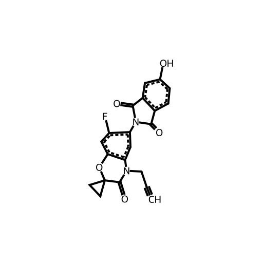 C#CCN1C(=O)C2(CC2)Oc2cc(F)c(N3C(=O)c4ccc(O)cc4C3=O)cc21